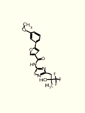 COc1cccc(-c2cc(C(=O)Nc3nc(CC(C)(O)C(F)(F)F)ns3)co2)c1